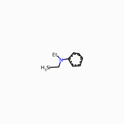 CCN(C[SiH3])c1ccccc1